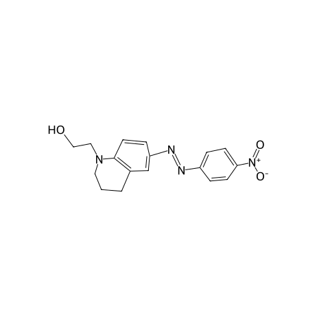 O=[N+]([O-])c1ccc(N=Nc2ccc3c(c2)CCCN3CCO)cc1